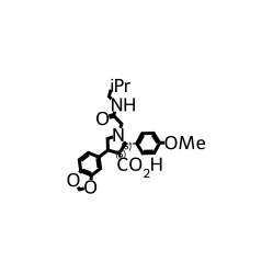 COc1ccc([C@@H]2[C@@H](C(=O)O)C(c3ccc4c(c3)OCO4)CN2CC(=O)NCC(C)C)cc1